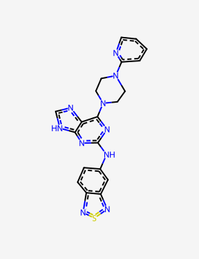 c1ccc(N2CCN(c3nc(Nc4ccc5nsnc5c4)nc4[nH]cnc34)CC2)nc1